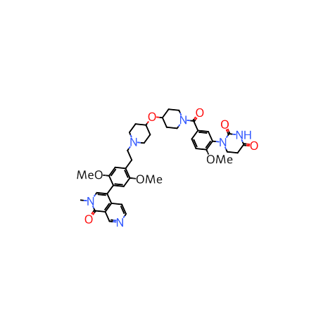 COc1cc(-c2cn(C)c(=O)c3cnccc23)c(OC)cc1CCN1CCC(OC2CCN(C(=O)c3ccc(OC)c(N4CCC(=O)NC4=O)c3)CC2)CC1